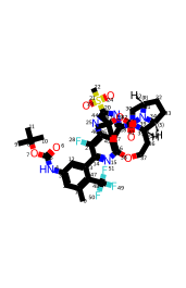 Cc1cc(NC(=O)OC(C)(C)C)cc(-c2nc3c4c(nc(S(C)(=O)=O)nc4c2F)N2C[C@H]4CC[C@@H]([C@H]2CCO3)N4C(=O)OC(C)(C)C)c1C(F)(F)F